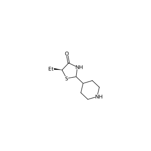 CC[C@@H]1SC(C2CCNCC2)NC1=O